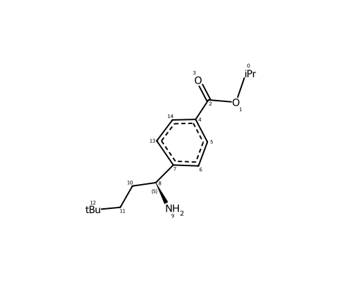 CC(C)OC(=O)c1ccc([C@@H](N)CCC(C)(C)C)cc1